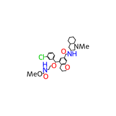 CNC[C@H](CC1CCCCC1)NC(=O)c1cc2c(c(C(OCCNC(=O)OC)c3cccc(Cl)c3)c1)CCCO2